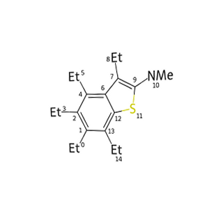 CCc1c(CC)c(CC)c2c(CC)c(NC)sc2c1CC